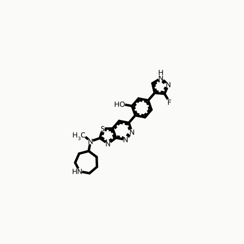 CN(c1nc2nnc(-c3ccc(-c4c[nH]nc4F)cc3O)cc2s1)C1CCCNCC1